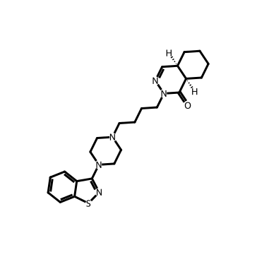 O=C1[C@@H]2CCCC[C@@H]2C=NN1CCCCN1CCN(c2nsc3ccccc23)CC1